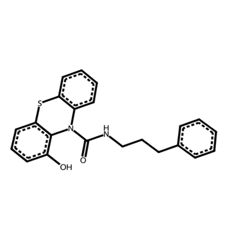 O=C(NCCCc1ccccc1)N1c2ccccc2Sc2cccc(O)c21